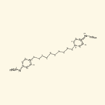 CCCCCCCCCN=c1ccn(CCCCCCCCCCn2ccc(=NCCCCCCCCC)cc2)cc1